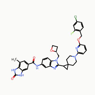 Cc1cc(C(=O)Nc2ccc3c(c2)nc(C2CC24CCN(c2cccc(OCc5ccc(Cl)cc5F)n2)CC4)n3C[C@@H]2CCO2)cc2[nH]c(=O)[nH]c12